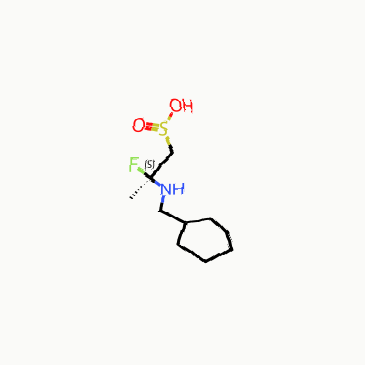 C[C@](F)(CS(=O)O)NCC1CCCCC1